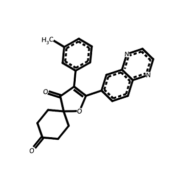 Cc1cccc(C2=C(c3ccc4nccnc4c3)OC3(CCC(=O)CC3)C2=O)c1